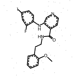 COc1ccccc1CCNC(=O)c1ccncc1Nc1ccc(I)cc1F